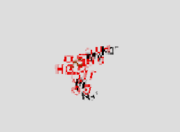 O=S(=O)(O)O.[Na+].[Na+].[O]=[Cr](=[O])([O-])[O-].[O]=[Mo](=[O])([OH])[OH]